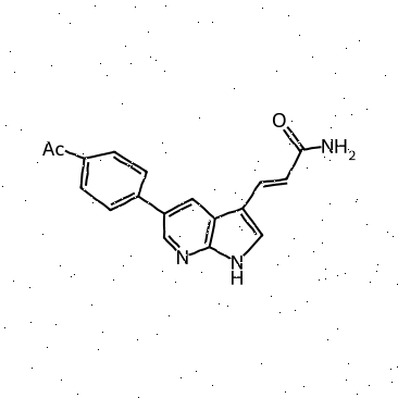 CC(=O)c1ccc(-c2cnc3[nH]cc(C=CC(N)=O)c3c2)cc1